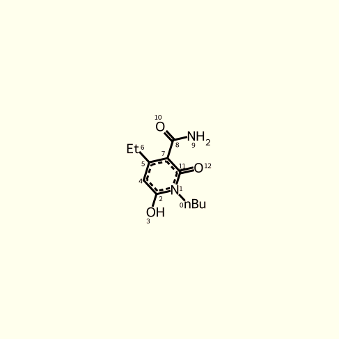 CCCCn1c(O)cc(CC)c(C(N)=O)c1=O